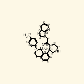 Cc1ccc(N2CCc3cccc([C@]4(C)CNCCN4C(=O)Cn4cnc5cccnc54)c3C2)nc1